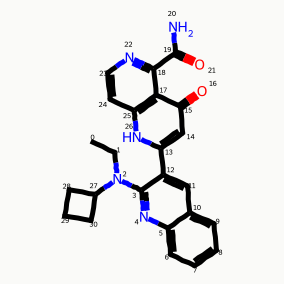 CCN(c1nc2ccccc2cc1-c1cc(=O)c2c(C(N)=O)nccc2[nH]1)C1CCC1